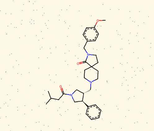 COc1ccc(CN2CCC3(CCN(C[C@H]4CN(C(=O)CC(C)C)C[C@@H]4c4ccccc4)CC3)C2=O)cc1